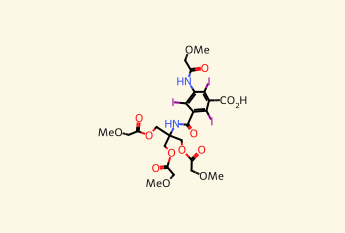 COCC(=O)Nc1c(I)c(C(=O)O)c(I)c(C(=O)NC(COC(=O)COC)(COC(=O)COC)COC(=O)COC)c1I